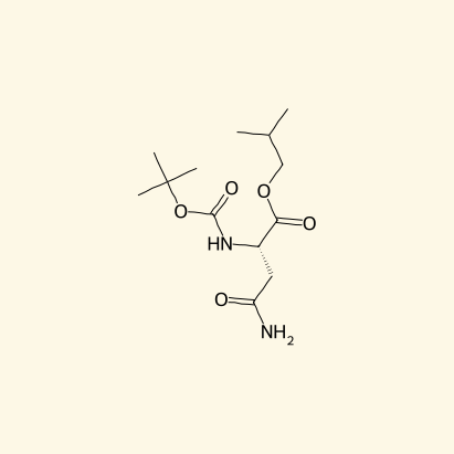 CC(C)COC(=O)[C@H](CC(N)=O)NC(=O)OC(C)(C)C